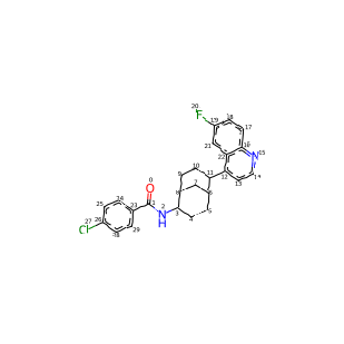 O=C(NC1CCC2CC1CCC2c1ccnc2ccc(F)cc12)c1ccc(Cl)cc1